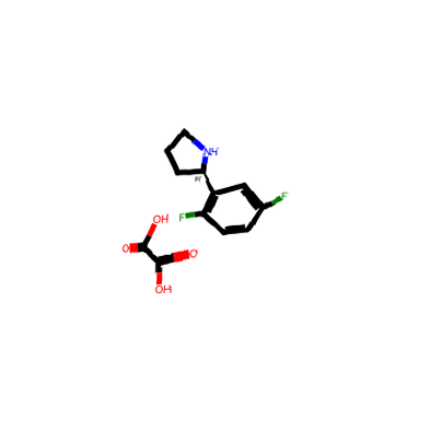 Fc1ccc(F)c([C@H]2CCCN2)c1.O=C(O)C(=O)O